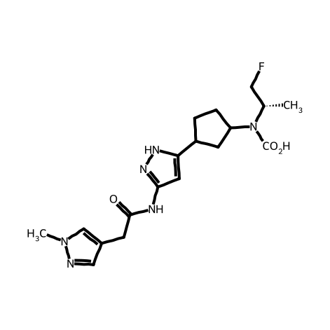 C[C@@H](CF)N(C(=O)O)C1CCC(c2cc(NC(=O)Cc3cnn(C)c3)n[nH]2)C1